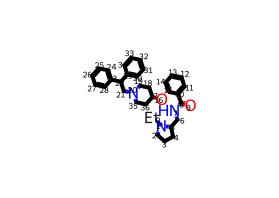 CCN1CCCC1CNC(=O)c1ccccc1OC1CCN(CC(c2ccccc2)c2ccccc2)CC1